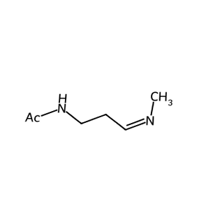 C/N=C\CCNC(C)=O